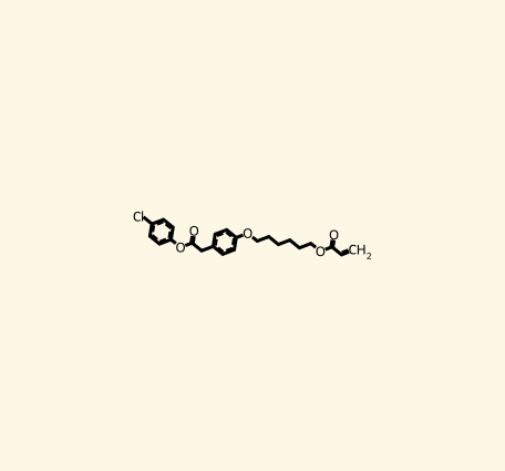 C=CC(=O)OCCCCCCOc1ccc(CC(=O)Oc2ccc(Cl)cc2)cc1